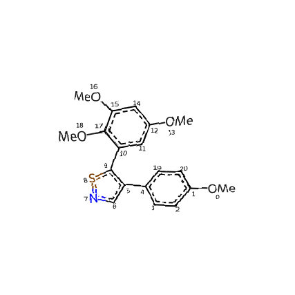 COc1ccc(-c2cnsc2-c2cc(OC)cc(OC)c2OC)cc1